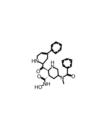 CN(C(=O)c1ccccc1)C1CN[C@H](C(=O)C2CC(c3ccccc3)=CCN2)[C@@H](C(=O)NO)C1